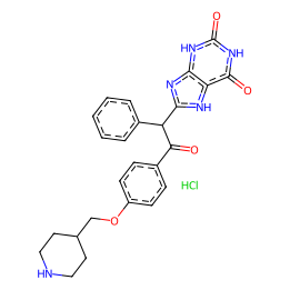 Cl.O=C(c1ccc(OCC2CCNCC2)cc1)C(c1ccccc1)c1nc2[nH]c(=O)[nH]c(=O)c2[nH]1